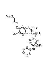 COCCCOc1cc(C[C@@H](C[C@H](N)C(O)C[C@H](C(=O)NC2CCOCC2)C(C)C)C(C)C)ccc1C(C)=O